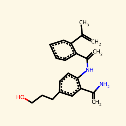 C=C(N)c1cc(CCCO)ccc1NC(=C)c1ccccc1C(=C)C